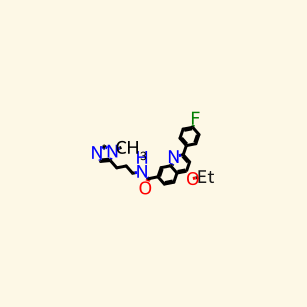 CCOc1cc(-c2ccc(F)cc2)nc2cc(C(=O)NCCCc3cncn3C)ccc12